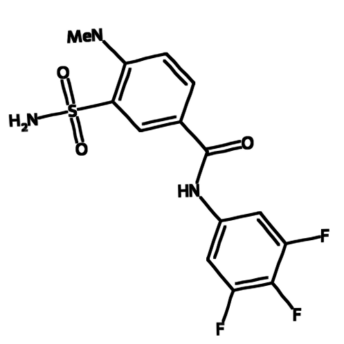 CNc1ccc(C(=O)Nc2cc(F)c(F)c(F)c2)cc1S(N)(=O)=O